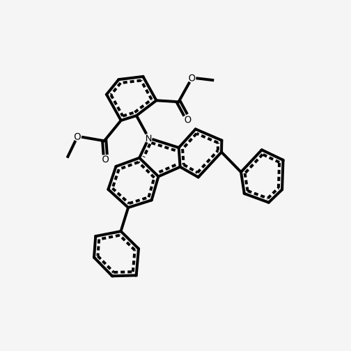 COC(=O)c1cccc(C(=O)OC)c1-n1c2ccc(-c3ccccc3)cc2c2cc(-c3ccccc3)ccc21